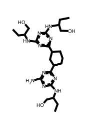 CCC(CO)Nc1nc(N)nc(C2CCCC(c3nc(NC(CC)CO)nc(NC(CC)CO)n3)C2)n1